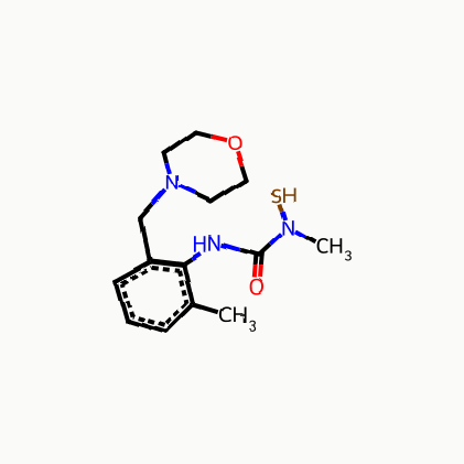 Cc1cccc(CN2CCOCC2)c1NC(=O)N(C)S